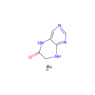 CC[C@H](C)C1Nc2ncncc2NC1=O